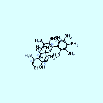 BC(=C)/C(B)=C(\CC(C)(C)/C(C)=C(C(/B)=C\CC)\C(O)=C/C)c1c(B)c(B)c(B)c(B)c1B